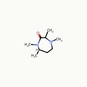 CC1C(=O)N(C)[C@H](C)CCN1C